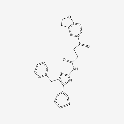 O=C(CCC(=O)c1ccc2c(c1)CCO2)Nc1nc(-c2ccccc2)c(Cc2ccccc2)s1